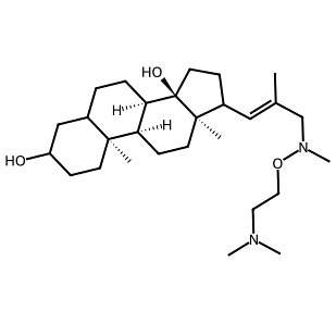 C/C(=C\C1CC[C@@]2(O)[C@@H]3CCC4CC(O)CC[C@]4(C)[C@@H]3CC[C@]12C)CN(C)OCCN(C)C